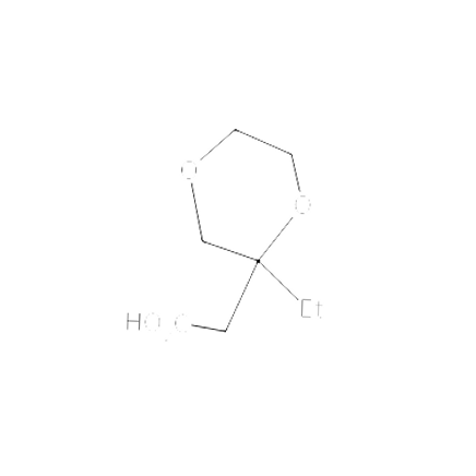 CCC1(CC(=O)O)COCCO1